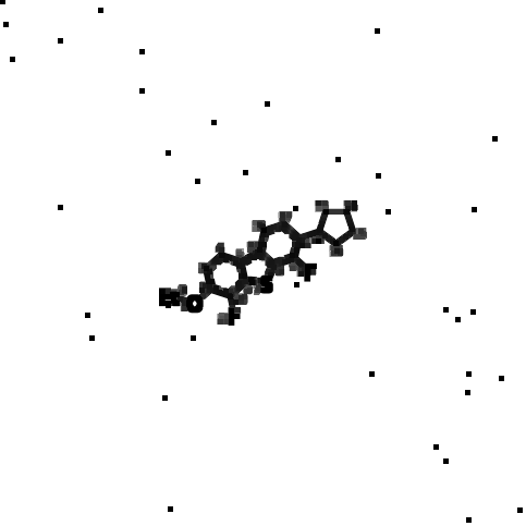 CCOc1ccc2c(sc3c(F)c(C4CCCC4)ccc32)c1F